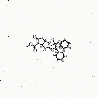 COC(=O)C1C(=O)CC2CC(O[Si](c3ccccc3)(c3ccccc3)C(C)(C)C)CC21